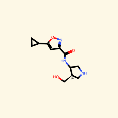 O=C(NC1CNC[C@H]1CO)c1cc(C2CC2)on1